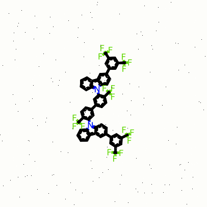 FC(F)(F)c1cc(-c2ccc3c(c2)c2ccccc2n3-c2cc(-c3ccc(C(F)(F)F)c(-n4c5ccccc5c5cc(-c6cc(C(F)(F)F)cc(C(F)(F)F)c6)ccc54)c3)ccc2C(F)(F)F)cc(C(F)(F)F)c1